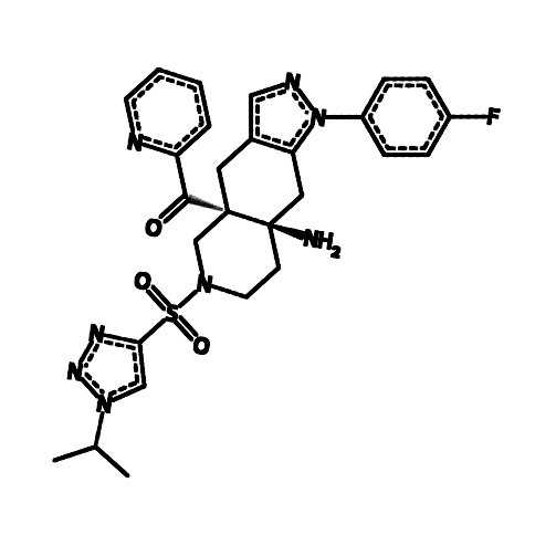 CC(C)n1cc(S(=O)(=O)N2CC[C@@]3(N)Cc4c(cnn4-c4ccc(F)cc4)C[C@]3(C(=O)c3ccccn3)C2)nn1